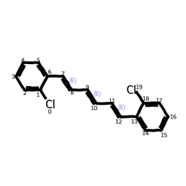 Clc1ccccc1/C=C/C=C/C=C/c1ccccc1Cl